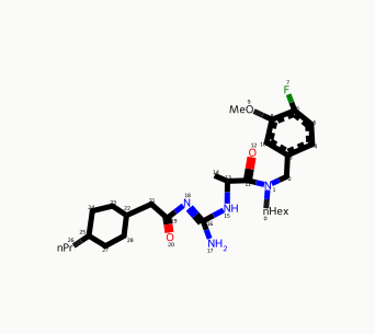 CCCCCCN(Cc1ccc(F)c(OC)c1)C(=O)C(C)NC(N)=NC(=O)CC1CCC(CCC)CC1